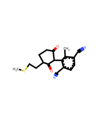 CSCCC1CCC(=O)C(c2c(C#N)ccc(C#N)c2C)C1=O